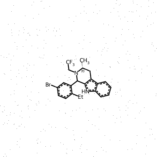 CCc1ccc(Br)cc1C1c2[nH]c3ccccc3c2C[C@@H](C)N1CC(F)(F)F